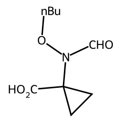 CCCCON(C=O)C1(C(=O)O)CC1